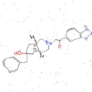 O=C(CN1C[C@@H]2CC(O)(Cc3ccccc3)C[C@@H]2C1)c1ccc2[nH]nnc2c1